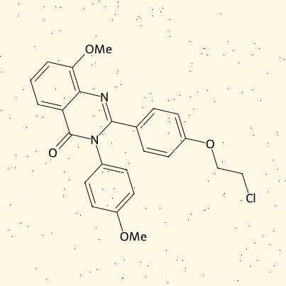 COc1ccc(-n2c(-c3ccc(OCCCl)cc3)nc3c(OC)cccc3c2=O)cc1